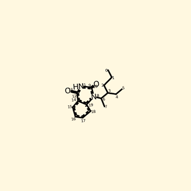 CCCC(CC)C(C)n1c(=O)[nH]c(=O)c2ccccc21